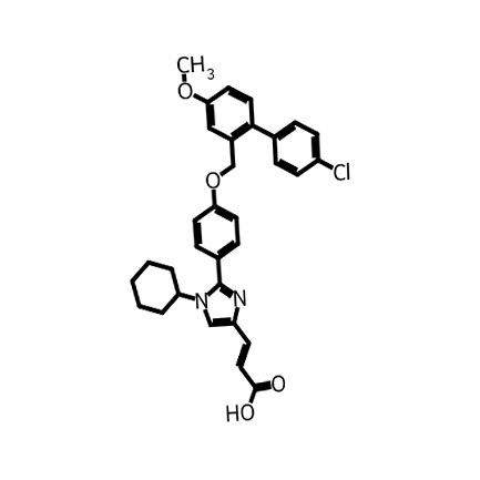 COc1ccc(-c2ccc(Cl)cc2)c(COc2ccc(-c3nc(C=CC(=O)O)cn3C3CCCCC3)cc2)c1